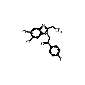 O=C(Cn1c(CC(F)(F)F)nc2cc(Cl)c(Cl)cc21)c1ccc(F)cc1